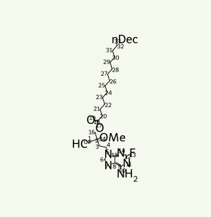 C#CC(CCn1cnc2c(N)nc(F)nc21)(COC(=O)CCCCCCCCCCCCCCCCCCCCCCC)OC